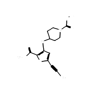 COC(=O)c1sc(C#CC(C)(C)C)cc1NC1CCN(C(=O)OC(C)(C)C)CC1